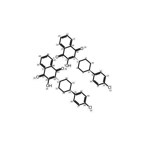 O=C1C(O)=C([C@H]2CC[C@H](c3ccc(Cl)cc3)CC2)C(=O)c2ccccc21.O=C1C(O)=C([C@H]2CC[C@H](c3ccc(Cl)cc3)CC2)C(=O)c2ccccc21